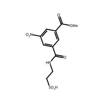 COC(=O)c1cc(C(=O)NCCS(=O)(=O)O)cc([N+](=O)[O-])c1